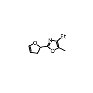 CCc1nc(C2CC=CO2)oc1C